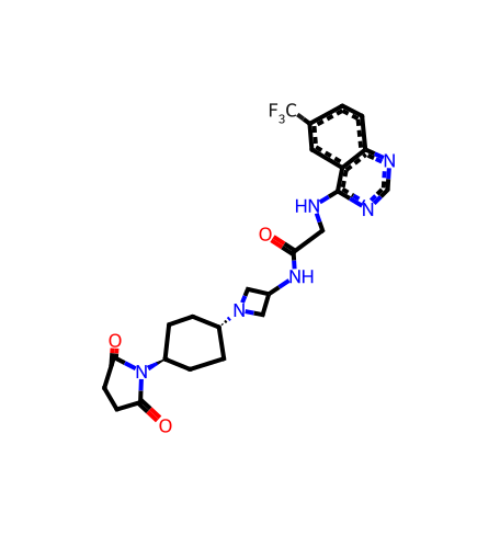 O=C(CNc1ncnc2ccc(C(F)(F)F)cc12)NC1CN([C@H]2CC[C@H](N3C(=O)CCC3=O)CC2)C1